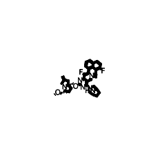 C#Cc1c(F)ccc2cccc(-c3ncc4c(N5CC6CCC(C5)N6)nc(OC[C@]56CC[C@H](COC)N5CC(=C)C6)nc4c3F)c12